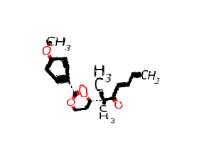 C=CCCC(=O)C(C)(C)[C@@H]1CCO[C@H](c2ccc(OC)cc2)O1